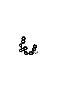 c1cc(-c2ccc3ccccc3c2)cc(-c2c3ccccc3c(-c3cccc(-c4ccc5[nH]c6cc7ccccc7cc6c5c4)c3)c3ccccc23)c1